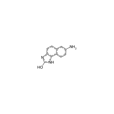 Nc1ccc2c(ccc3nc(O)[nH]c32)c1